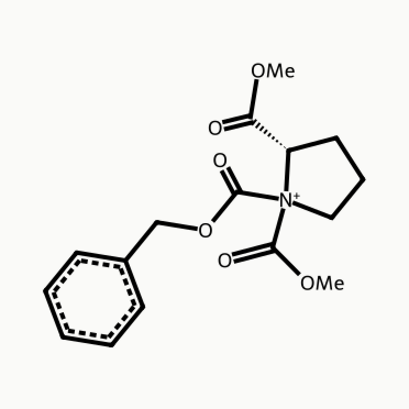 COC(=O)[C@@H]1CCC[N+]1(C(=O)OC)C(=O)OCc1ccccc1